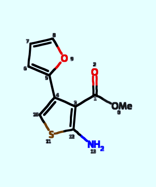 COC(=O)c1c(-c2ccco2)csc1N